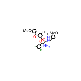 COc1cccc(CNCC(OC(=O)c2cc(C)cc(C(=O)c3cccc(OC)c3)c2)C(N)Cc2cc(F)cc(F)c2)c1